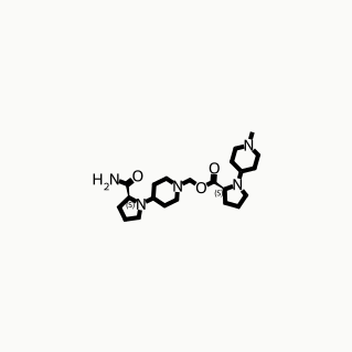 CN1CCC(N2CCC[C@H]2C(=O)OCN2CCC(N3CCC[C@H]3C(N)=O)CC2)CC1